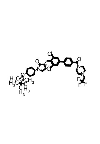 CC(C)(C)[Si](C)(C)O[C@H]1CC[C@@H](N2CC[C@@H](Cc3c(Cl)cc(-c4ccc(C(=O)N5CCN(CC(F)(F)F)CC5)cc4)cc3Cl)C2=O)CC1